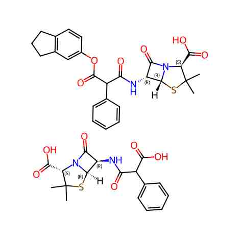 CC1(C)S[C@@H]2[C@H](NC(=O)C(C(=O)O)c3ccccc3)C(=O)N2[C@H]1C(=O)O.CC1(C)S[C@@H]2[C@H](NC(=O)C(C(=O)Oc3ccc4c(c3)CCC4)c3ccccc3)C(=O)N2[C@H]1C(=O)O